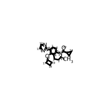 C[C@H]1CCc2c(ccc(-n3nccn3)c2OC2CCC2)N1C(=O)C1CC1